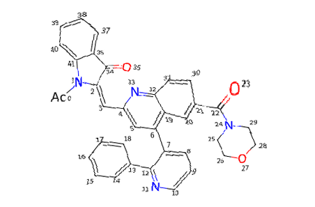 CC(=O)N1C(=Cc2cc(-c3cccnc3-c3ccccc3)c3cc(C(=O)N4CCOCC4)ccc3n2)C(=O)c2ccccc21